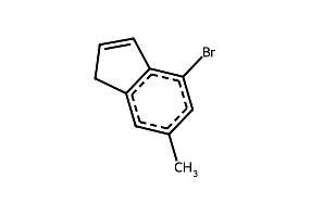 Cc1cc(Br)c2c(c1)CC=C2